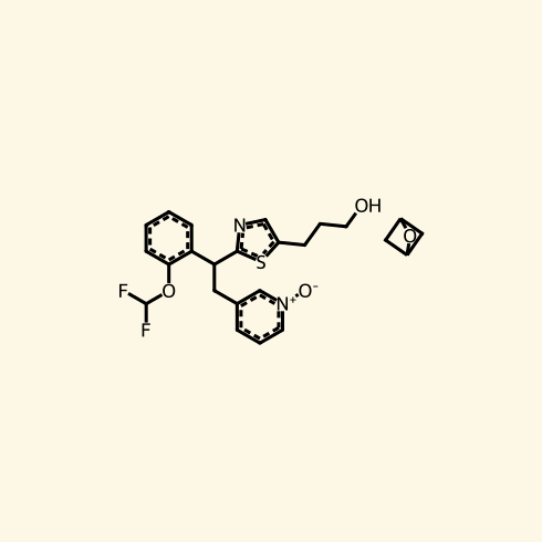 C1C2CC1O2.[O-][n+]1cccc(CC(c2ncc(CCCO)s2)c2ccccc2OC(F)F)c1